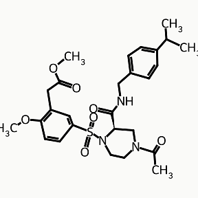 COC(=O)Cc1cc(S(=O)(=O)N2CCN(C(C)=O)C[C@@H]2C(=O)NCc2ccc(C(C)C)cc2)ccc1OC